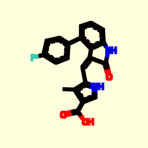 Cc1c(C(=O)O)c[nH]c1C=C1C(=O)Nc2cccc(-c3ccc(F)cc3)c21